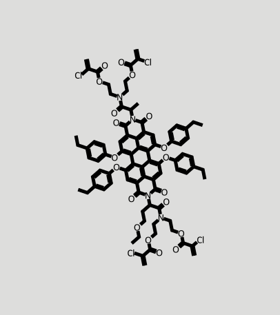 C=C(Cl)C(=O)OCCN(CCOC(=O)C(=C)Cl)C(=O)C(C)N1C(=O)c2cc(Oc3ccc(CC)cc3)c3c4c(Oc5ccc(CC)cc5)cc5c6c(cc(Oc7ccc(CC)cc7)c(c7c(Oc8ccc(CC)cc8)cc(c2c37)C1=O)c64)C(=O)N(C(CCOCC)C(=O)N(CCOC(=O)C(=C)Cl)CCOC(=O)C(=C)Cl)C5=O